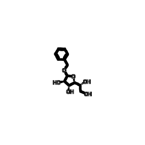 OC[C@@H](O)[C@H]1OC(OCc2ccccc2)[C@H](O)[C@H]1O